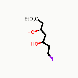 CCOC(=O)C[C@H](O)C[C@H](O)CCI